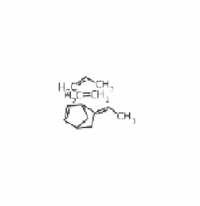 C=C.C=CC.CC=C1CC2C=CC1C2